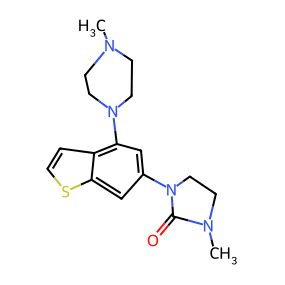 CN1CCN(c2cc(N3CCN(C)C3=O)cc3sccc23)CC1